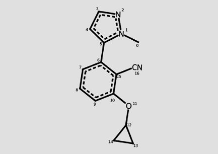 Cn1nccc1-c1cccc(OC2CC2)c1C#N